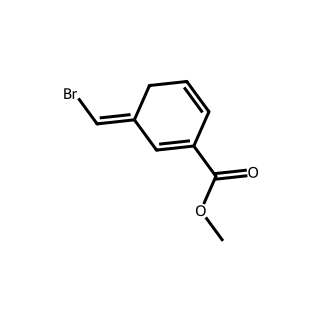 COC(=O)C1=CC(=CBr)CC=C1